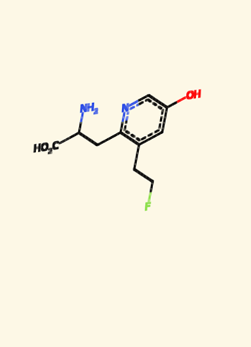 NC(Cc1ncc(O)cc1CCF)C(=O)O